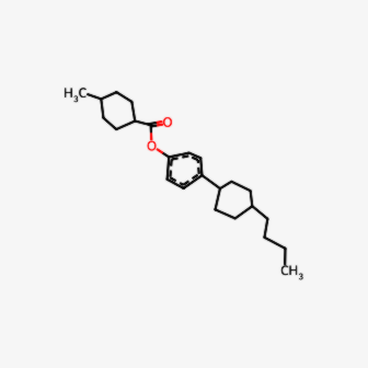 CCCCC1CCC(c2ccc(OC(=O)C3CCC(C)CC3)cc2)CC1